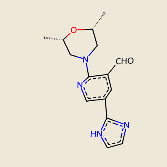 C[C@@H]1CN(c2ncc(-c3ncc[nH]3)cc2C=O)C[C@H](C)O1